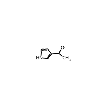 CC([O])c1cc[nH]c1